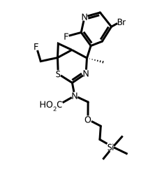 C[C@]1(c2cc(Br)cnc2F)N=C(N(COCC[Si](C)(C)C)C(=O)O)SC2(CF)CC21